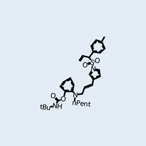 C=CC(c1ccc(C)cc1)S(=O)(=O)n1ccc(C=CCN(CCCCC)c2ccccc2OC(=O)NC(C)(C)C)c1